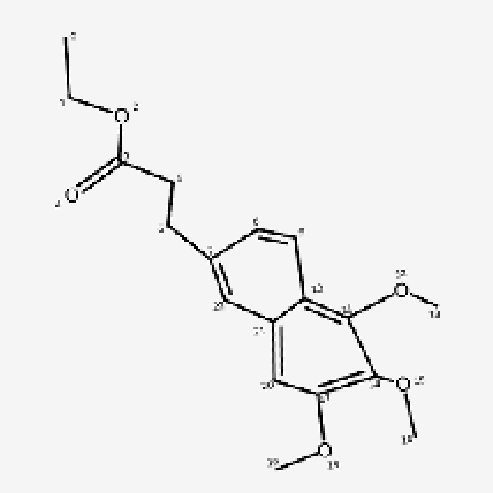 CCOC(=O)CCc1ccc2c(OC)c(OC)c(OC)cc2c1